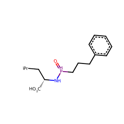 CC(C)C[C@H](N[PH](=O)CCCc1ccccc1)C(=O)O